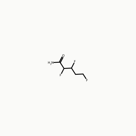 NC(=O)C(F)C(F)CCF